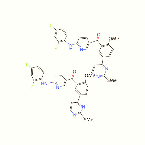 COc1ccc(-c2ccnc(SC)n2)cc1C(=O)c1ccc(Nc2ccc(F)cc2F)nc1.COc1ccc(-c2ccnc(SC)n2)cc1C(=O)c1ccc(Nc2ccc(F)cc2F)nc1